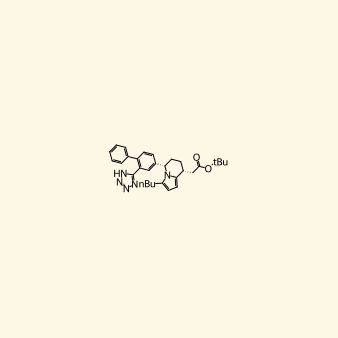 CCCCc1ccc2n1[C@H](c1ccc(-c3ccccc3)c(-c3nnn[nH]3)c1)CC[C@@H]2CC(=O)OC(C)(C)C